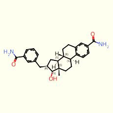 C[C@]12CC[C@@H]3c4ccc(C(N)=O)cc4CC[C@H]3[C@@H]1C[C@H](Cc1cccc(C(N)=O)c1)[C@@H]2O